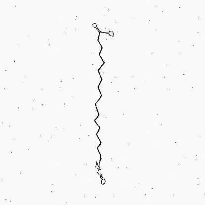 O=C=NCCCCCCCCCCCCCCCCC(=O)Cl